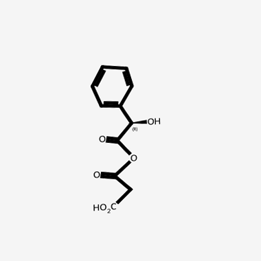 O=C(O)CC(=O)OC(=O)[C@H](O)c1ccccc1